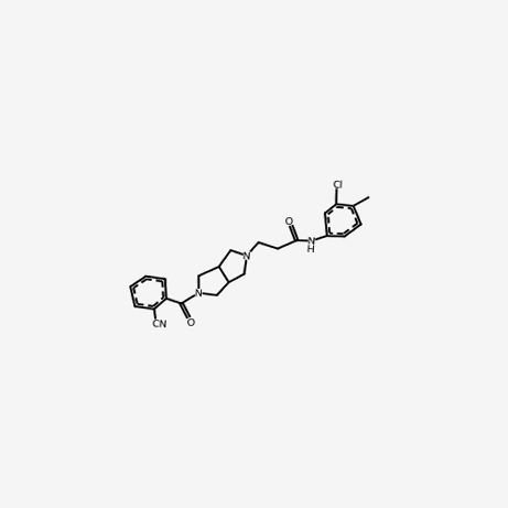 Cc1ccc(NC(=O)CCN2CC3CN(C(=O)c4ccccc4C#N)CC3C2)cc1Cl